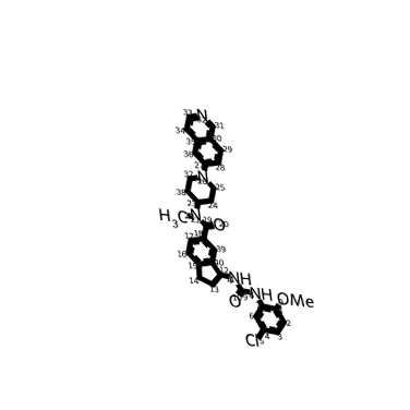 COc1ccc(Cl)cc1NC(=O)NC1CCc2ccc(C(=O)N(C)C3CCN(c4ccc5cnccc5c4)CC3)cc21